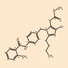 CCCCc1nc(Cl)c(CC(=O)OC)n1Cc1ccc(NC(=O)c2ccccc2C)cc1